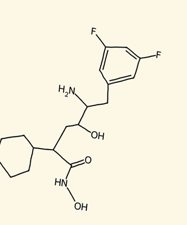 NC(Cc1cc(F)cc(F)c1)C(O)CC(C(=O)NO)C1CCC(F)(F)CC1